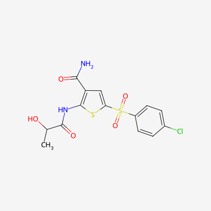 CC(O)C(=O)Nc1sc(S(=O)(=O)c2ccc(Cl)cc2)cc1C(N)=O